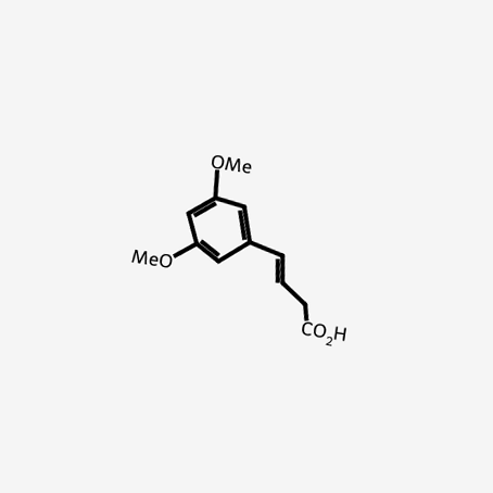 COc1cc(C=CCC(=O)O)cc(OC)c1